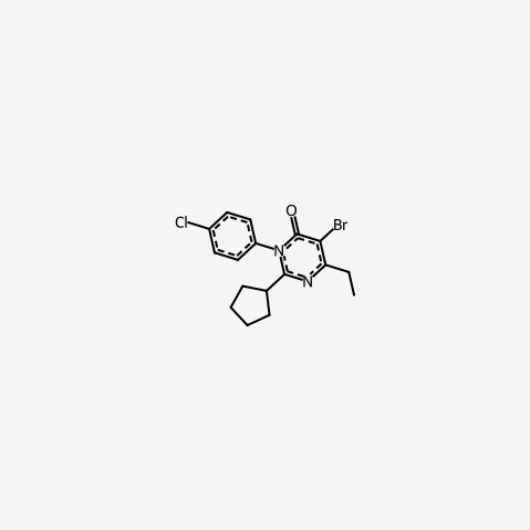 CCc1nc(C2CCCC2)n(-c2ccc(Cl)cc2)c(=O)c1Br